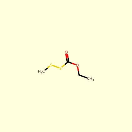 CCOC(=O)SSC